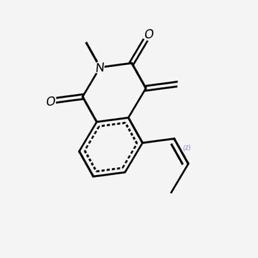 C=C1C(=O)N(C)C(=O)c2cccc(/C=C\C)c21